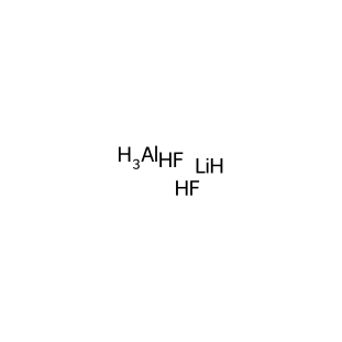 F.F.[AlH3].[LiH]